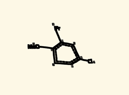 [CH2]C(C)c1cc(Cl)ccc1OC